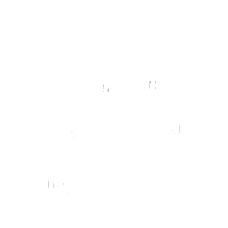 O=C(O)c1cc2c(Cl)nc(Cl)nc2s1